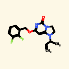 C=CC(C)N1CCn2c1cc(OCc1cccc(F)c1F)nc2=O